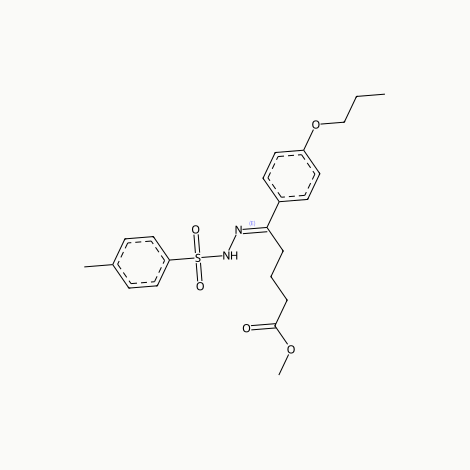 CCCOc1ccc(/C(CCCC(=O)OC)=N/NS(=O)(=O)c2ccc(C)cc2)cc1